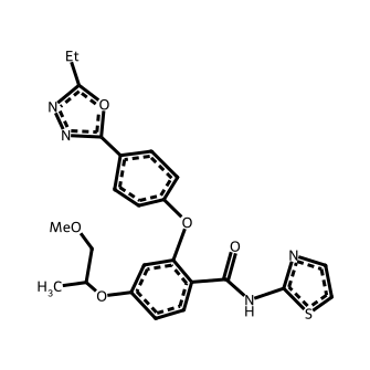 CCc1nnc(-c2ccc(Oc3cc(OC(C)COC)ccc3C(=O)Nc3nccs3)cc2)o1